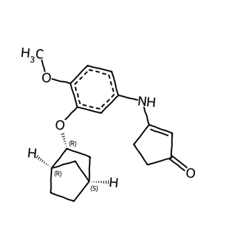 COc1ccc(NC2=CC(=O)CC2)cc1O[C@@H]1C[C@H]2CC[C@@H]1C2